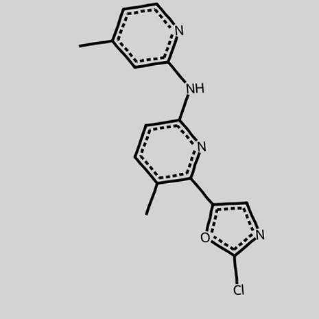 Cc1ccnc(Nc2ccc(C)c(-c3cnc(Cl)o3)n2)c1